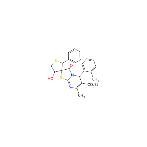 CCOC(=O)C1=C(C)N=C2SC3(C(=O)N2C1c1ccccc1C)C(O)CSC3c1ccccc1